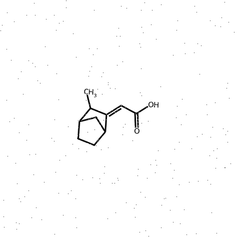 CC1C(=CC(=O)O)C2CCC1C2